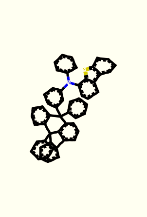 c1ccc(N(c2cccc(C3(c4ccccc4)c4ccccc4C4(c5ccccc5)c5ccccc5-c5cccc3c54)c2)c2cccc3c2sc2ccccc23)cc1